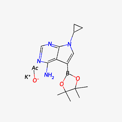 CC(=O)[O-].CC1(C)OB(c2cn(C3CC3)c3ncnc(N)c23)OC1(C)C.[K+]